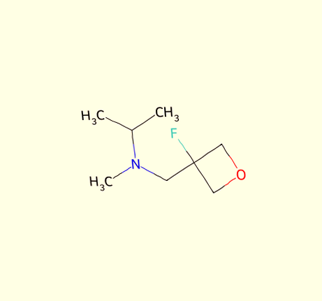 CC(C)N(C)CC1(F)COC1